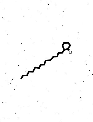 CCCCCCCCCCCCCCCC1CCCCC1=O